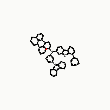 c1ccc(-c2cccc3c2oc2cc(N(c4ccc(-c5cccc6cccc(-c7ccccc7)c56)cc4)c4cccc(-n5c6ccccc6c6ccccc65)c4)ccc23)cc1